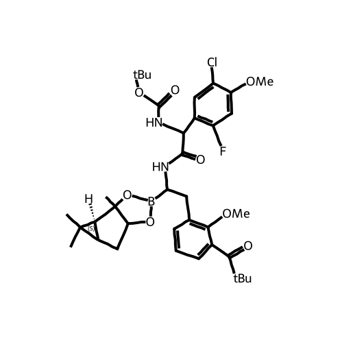 COc1cc(F)c(C(NC(=O)OC(C)(C)C)C(=O)NC(Cc2cccc(C(=O)C(C)(C)C)c2OC)B2OC3CC4[C@@H](C4(C)C)C3(C)O2)cc1Cl